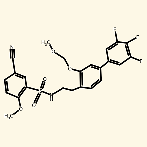 COCOc1cc(-c2cc(F)c(F)c(F)c2)ccc1CCNS(=O)(=O)c1cc(C#N)ccc1OC